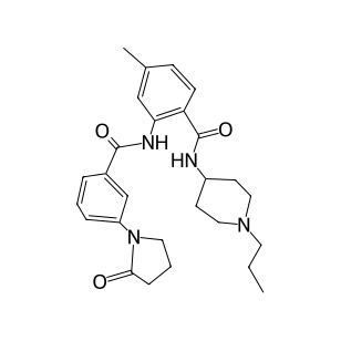 CCCN1CCC(NC(=O)c2ccc(C)cc2NC(=O)c2cccc(N3CCCC3=O)c2)CC1